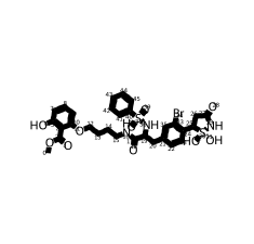 COC(=O)c1c(O)cccc1OCCCCNC(=O)C(Cc1ccc(C2CC(=O)NS2(O)O)c(Br)c1)NS(=O)(=O)c1ccccc1